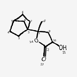 CC1(C23CCC(CC2)C3)CC(O)C(=O)O1